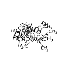 CCCCOCC1CC(OC2C(COCCCC)CC(SCC)[C@@H](C)[C@H]2OCCCC)[C@@H](OCCCC)[C@H](O[C@]2(C(=O)CC)C[C@@H](O)[C@@H](N)C([C@H](OC(C)=O)[C@@H](CO)OC(C)=O)O2)C1O